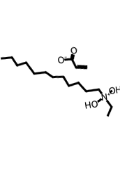 C=CC(=O)[O-].CCCCCCCCCCCC[N+](O)(O)CC